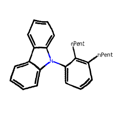 CCCCCc1cccc(-n2c3ccccc3c3ccccc32)c1CCCCC